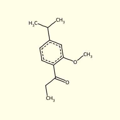 CCC(=O)c1ccc(C(C)C)cc1OC